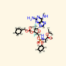 CNc1nc(N)nc2c1ncn2[C@@H]1O[C@](F)(COP(=O)(NC(C)C(=O)OC(C)C)Oc2ccccc2)[C@@H](OC(=O)OCc2ccccc2)[C@@]1(C)F